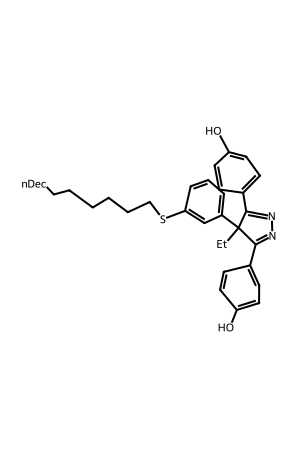 CCCCCCCCCCCCCCCCSc1cccc(C2(CC)C(c3ccc(O)cc3)=NN=C2c2ccc(O)cc2)c1